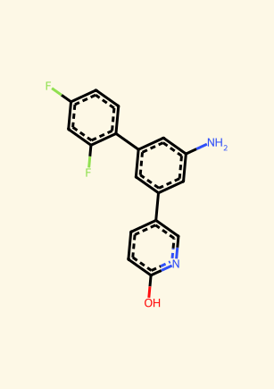 Nc1cc(-c2ccc(O)nc2)cc(-c2ccc(F)cc2F)c1